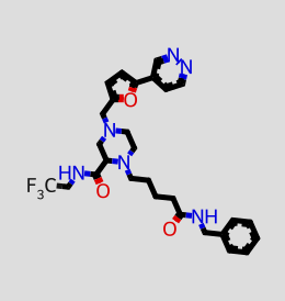 O=C(CCCCN1CCN(Cc2ccc(-c3ccnnc3)o2)CC1C(=O)NCC(F)(F)F)NCc1ccccc1